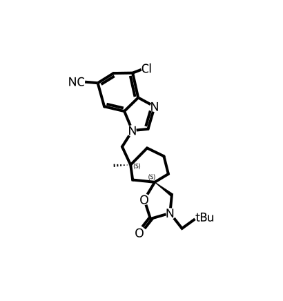 CC(C)(C)CN1C[C@@]2(CCC[C@](C)(Cn3cnc4c(Cl)cc(C#N)cc43)C2)OC1=O